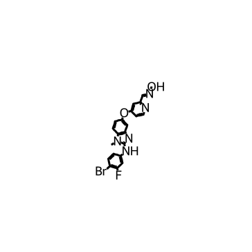 Cn1c(Nc2ccc(Br)c(F)c2)nc2cc(Oc3ccnc(/C=N/O)c3)ccc21